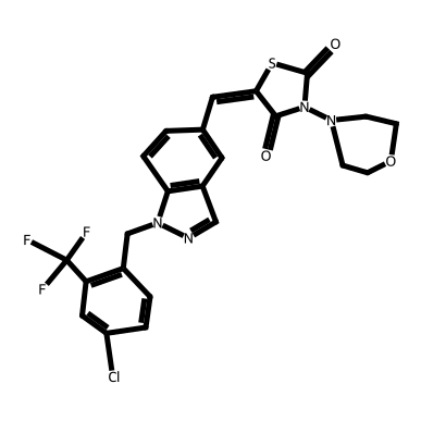 O=C1SC(=Cc2ccc3c(cnn3Cc3ccc(Cl)cc3C(F)(F)F)c2)C(=O)N1N1CCOCC1